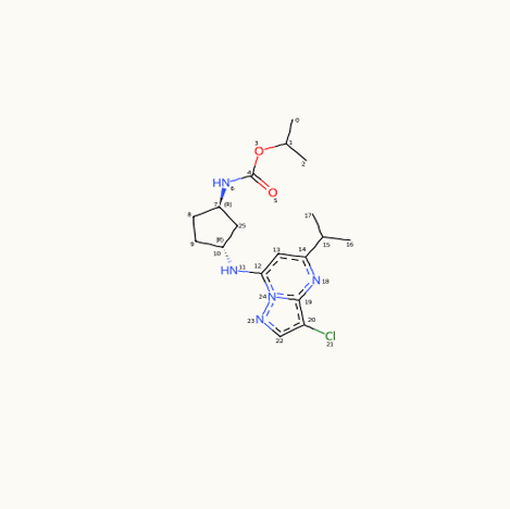 CC(C)OC(=O)N[C@@H]1CC[C@@H](Nc2cc(C(C)C)nc3c(Cl)cnn23)C1